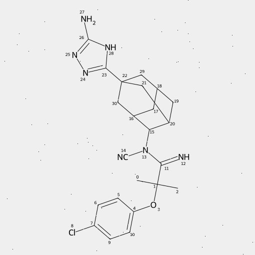 CC(C)(Oc1ccc(Cl)cc1)C(=N)N(C#N)C1C2CC3CC1CC(c1nnc(N)[nH]1)(C3)C2